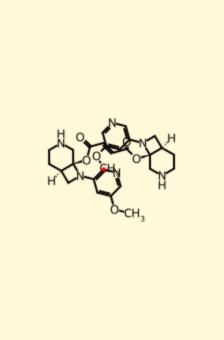 COc1cncc(N2C[C@H]3CCNC[C@@]32OC(=O)/C=C/C(=O)O[C@]23CNCC[C@@H]2CN3c2cncc(OC)c2)c1